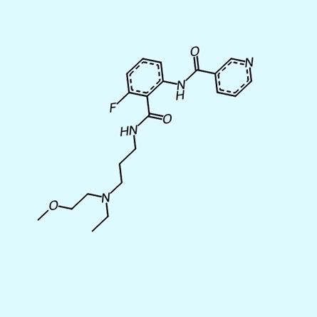 CCN(CCCNC(=O)c1c(F)cccc1NC(=O)c1cccnc1)CCOC